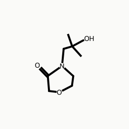 CC(C)(O)CN1CCOCC1=O